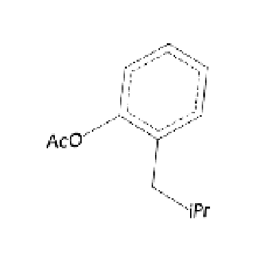 CC(=O)Oc1ccccc1CC(C)C